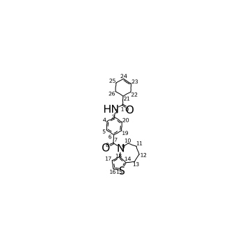 O=C(Nc1ccc(C(=O)N2CCCCc3sccc32)cc1)C1CC=CCC1